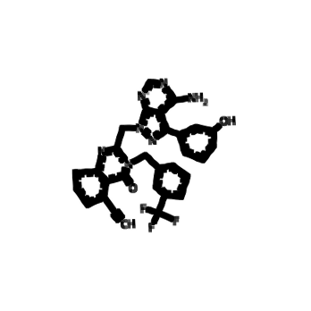 C#Cc1cccc2nc(Cn3nc(-c4cccc(O)c4)c4c(N)ncnc43)n(Cc3cccc(C(F)(F)F)c3)c(=O)c12